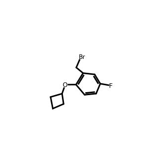 Fc1ccc(OC2CCC2)c(CBr)c1